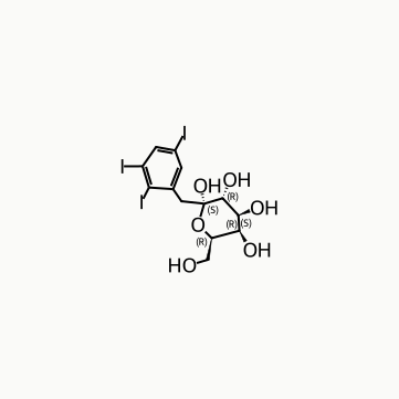 OC[C@H]1O[C@@](O)(Cc2cc(I)cc(I)c2I)[C@H](O)[C@@H](O)[C@H]1O